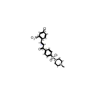 CN1CCN(S(=O)(=O)c2ccc(C(=O)/C=C/c3ccc(Cl)cc3[N+](=O)[O-])cc2)CC1